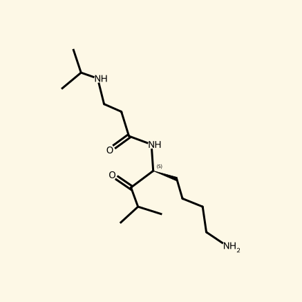 CC(C)NCCC(=O)N[C@@H](CCCCN)C(=O)C(C)C